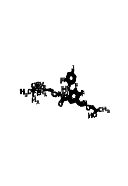 CC(O)CO/N=C/c1cc(C(=O)NOCCO[Si](C)(C)C(C)(C)C)c(Nc2ccc(I)cc2F)c(F)c1F